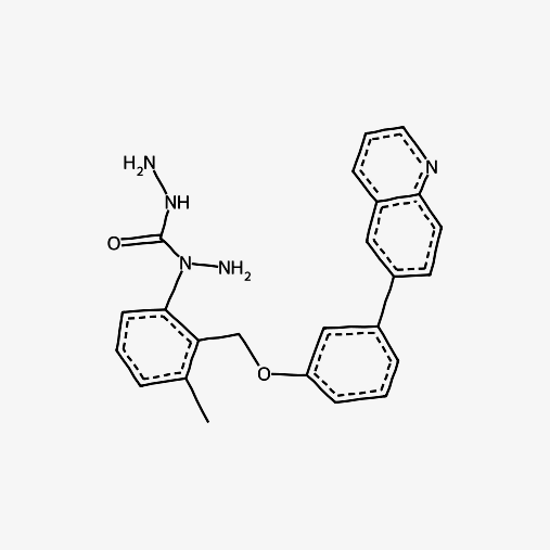 Cc1cccc(N(N)C(=O)NN)c1COc1cccc(-c2ccc3ncccc3c2)c1